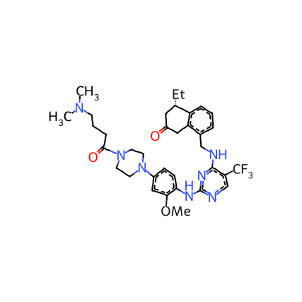 CC[C@H]1CC(=O)Cc2c(CNc3nc(Nc4ccc(N5CCN(C(=O)CCCN(C)C)CC5)cc4OC)ncc3C(F)(F)F)cccc21